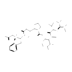 CC[C@H](C)[C@@H]([C@@H](CC(=O)N1CCC[C@H]1[C@H](OC)[C@@H](C)C(=O)N[C@@H](Cc1ccccc1)P(=O)(O)CC(C)=O)OC)N(C)C(=O)[C@@H](N=C(N(C)C)N(C)C)C(C)C